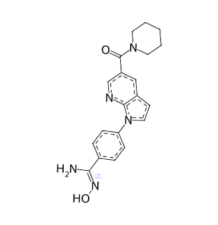 N/C(=N\O)c1ccc(-n2ccc3cc(C(=O)N4CCCCC4)cnc32)cc1